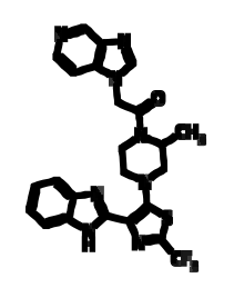 CC1CN(c2sc(C(F)(F)F)nc2-c2nc3ccccc3[nH]2)CCN1C(=O)Cn1cnc2cnccc21